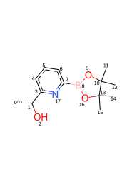 C[C@@H](O)c1cccc(B2OC(C)(C)C(C)(C)O2)n1